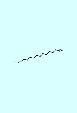 [CH2]CCCCCCCCCCCCCCCCCCC(C)C